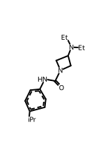 CCN(CC)C1CN(C(=O)Nc2ccc(C(C)C)cc2)C1